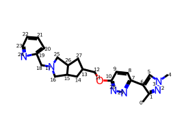 Cc1nn(C)cc1-c1ccc(OCC2CC3CN(Cc4ccccn4)CC3C2)nn1